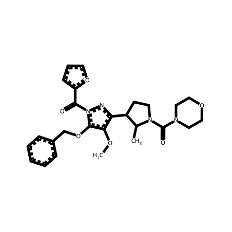 COc1c(C2CCN(C(=O)N3CCOCC3)C2C)nn(C(=O)c2ccco2)c1OCc1ccccc1